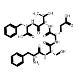 C[C@@H](O)[C@H](NC(=O)[C@H](CCC(=O)O)NC(=O)[C@H](CO)NC(=O)[C@@H](N)Cc1ccccc1)C(=O)N[C@@H](Cc1ccccc1)C(=O)O